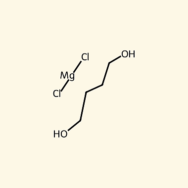 OCCCCO.[Cl][Mg][Cl]